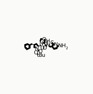 Cc1nc(N)ccc1CNC(=O)[C@@H]1COCCN1C(=O)[C@H]1C[C@H](Cc2ccccc2)CN1C(=O)OC(C)(C)C